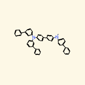 CN(c1ccc(-c2ccccc2)cc1)c1ccc(-c2ccc(N(c3cccc(-c4ccccc4)c3)c3cccc(-c4ccccc4)c3)cc2)cc1